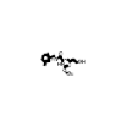 Cc1cccc(CNC(=O)[C@H](CCCCO)NC(=O)OC(C)(C)C)c1